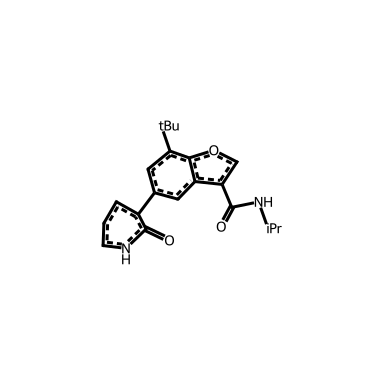 CC(C)NC(=O)c1coc2c(C(C)(C)C)cc(-c3ccc[nH]c3=O)cc12